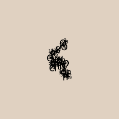 CC(C)(C)OC(=O)CCSCc1cccc(C(=O)Nc2ccc(Cl)cc2-c2cc(C(=O)NCc3cccc(C(F)(F)F)c3)ccn2)c1